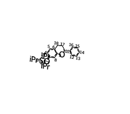 CC(C)[Si](Oc1ccc2c(c1)O[C@@H](c1ccccc1)CC2)(C(C)C)C(C)C